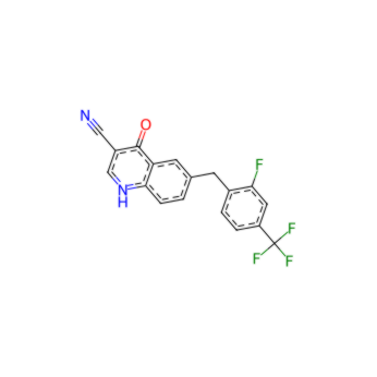 N#Cc1c[nH]c2ccc(Cc3ccc(C(F)(F)F)cc3F)cc2c1=O